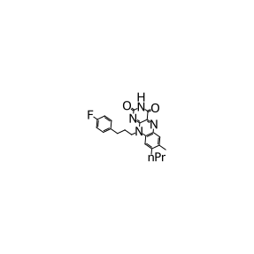 CCCc1cc2c(cc1C)nc1c(=O)[nH]c(=O)nc-1n2CCCc1ccc(F)cc1